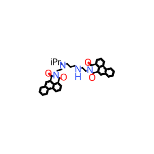 CC(C)N(CCCNCCN1C(=O)c2cccc3c2c(cc2ccccc23)C1=O)CCN1C(=O)c2cccc3c2c(cc2ccccc23)C1=O